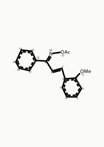 COc1ccccc1C=CC(=NOC(C)=O)c1ccccc1